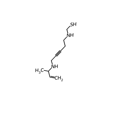 C=CC(C)NCC#CCCNCS